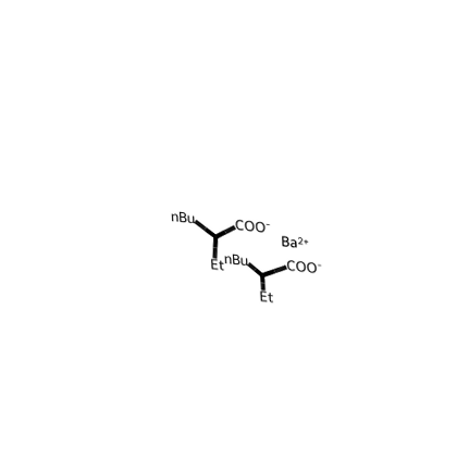 CCCCC(CC)C(=O)[O-].CCCCC(CC)C(=O)[O-].[Ba+2]